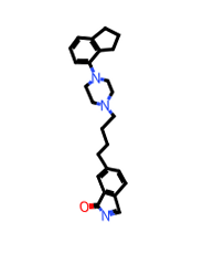 O=C1N=Cc2ccc(CCCCN3CCN(c4cccc5c4CCC5)CC3)cc21